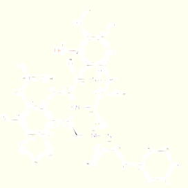 COc1c(C)cc2c(c1O)[C@@H]1C3Cc4c(OC(C)=O)c(C)c5c(c4[C@H](CNC(=O)CCC4CCCCC4)N3[C@@H](C#N)[C@H](C2)N1C)OCO5